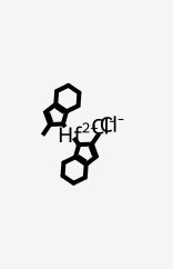 CC1=CC2=C(CCCC2)[CH]1[Hf+2][CH]1C(C)=CC2=C1CCCC2.[Cl-].[Cl-]